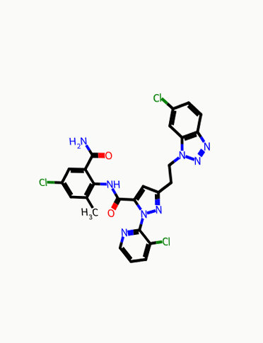 Cc1cc(Cl)cc(C(N)=O)c1NC(=O)c1cc(CCn2nnc3ccc(Cl)cc32)nn1-c1ncccc1Cl